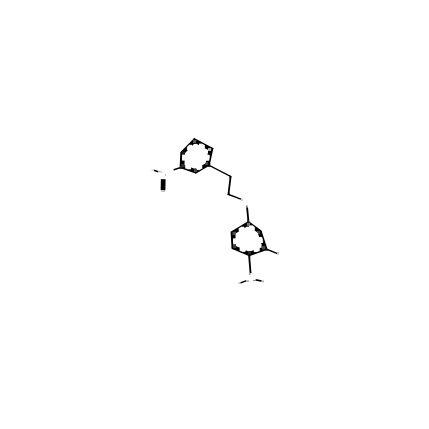 O=[N+]([O-])c1cccc(CCOc2ccc(B(O)O)c(F)c2)c1